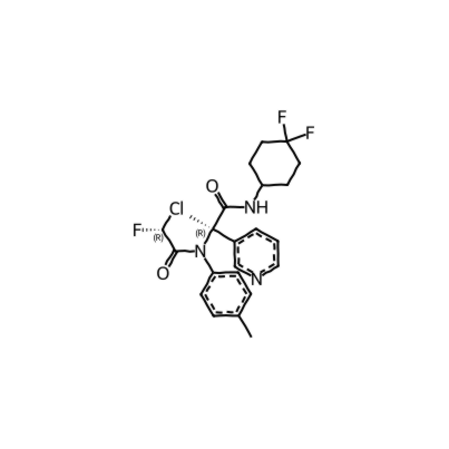 Cc1ccc(N(C(=O)[C@H](F)Cl)[C@@](C)(C(=O)NC2CCC(F)(F)CC2)c2cccnc2)cc1